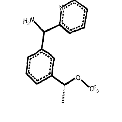 C[C@@H](OC(F)(F)F)c1cccc(C(N)c2ccccn2)c1